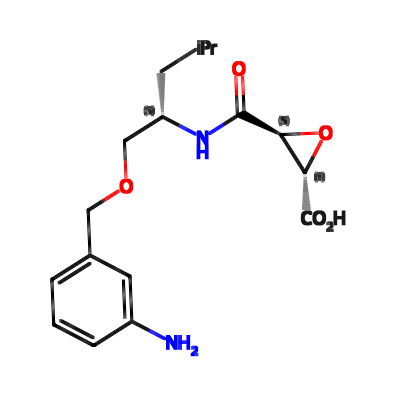 CC(C)C[C@@H](COCc1cccc(N)c1)NC(=O)[C@H]1O[C@@H]1C(=O)O